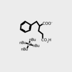 CCCC[N+](CCCC)(CCCC)CCCC.O=C(O)CCC(Cc1ccccc1)C(=O)[O-]